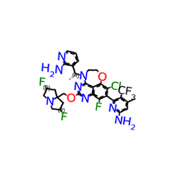 Cc1cc(N)nc(-c2c(Cl)c3c4c(nc(OCC56C[C@@H](F)CN5C[C@H](F)C6)nc4c2F)N([C@H](C)c2cccnc2N)CCO3)c1C(F)(F)F